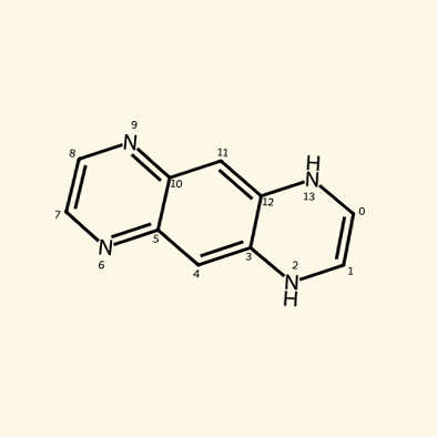 C1=CNc2cc3nccnc3cc2N1